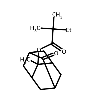 CCC(C)(C)C(=O)OC1(C)C2CC3CC1CC(C2)C3=O